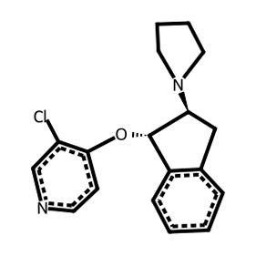 Clc1cnccc1O[C@H]1c2ccccc2C[C@@H]1N1CCCC1